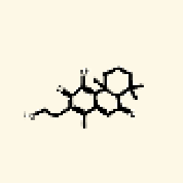 CC1=C(CCO)C(=O)C(O)=C2C1=CC(=O)C1C(C)(C)CCCC21C